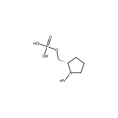 CCCN1CCC[C@H]1COP(=O)(O)O